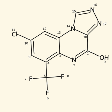 Oc1nc2c(C(F)(F)F)cc(Cl)cc2n2cnnc12